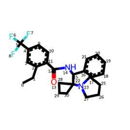 CCc1cc(C(F)(F)F)ccc1C(=O)NC(c1ccccc1)C1(N2CCCC2)CCC1